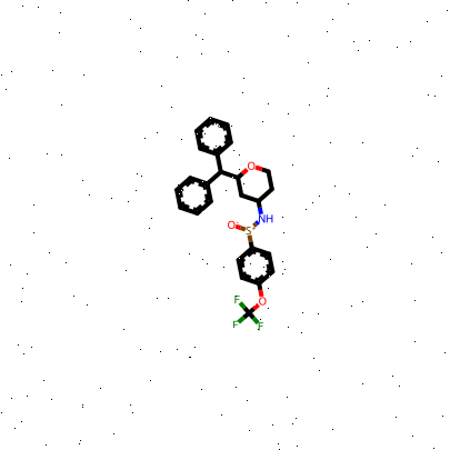 [O-][S+](NC1CCOC(C(c2ccccc2)c2ccccc2)C1)c1ccc(OC(F)(F)F)cc1